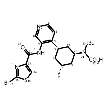 C[C@@H]1C[C@H](c2ccncc2NC(=O)c2csc(Br)n2)C[C@@H](N(C(=O)O)C(C)(C)C)C1